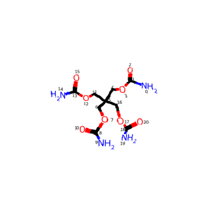 NC(=O)OCC(COC(N)=O)(COC(N)=O)COC(N)=O